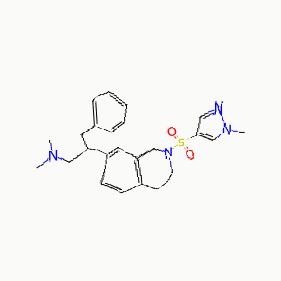 CN(C)CC(Cc1ccccc1)c1ccc2c(c1)CN(S(=O)(=O)c1cnn(C)c1)CC2